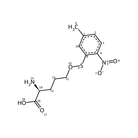 Cc1ccc([N+](=O)[O-])c(SOCCC[C@H](N)C(=O)O)c1